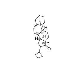 C[C@]12CCCCC1=CC[C@@H]1[C@H]2CC[C@]2(C)C(=O)C(C3CCC3)C[C@@H]12